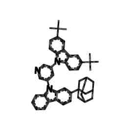 CC(C)(C)c1ccc2c(c1)c1cc(C(C)(C)C)ccc1n2-c1cncc(-n2c3ccccc3c3ccc(C45CC6CC(CC(C6)C4)C5)cc32)c1